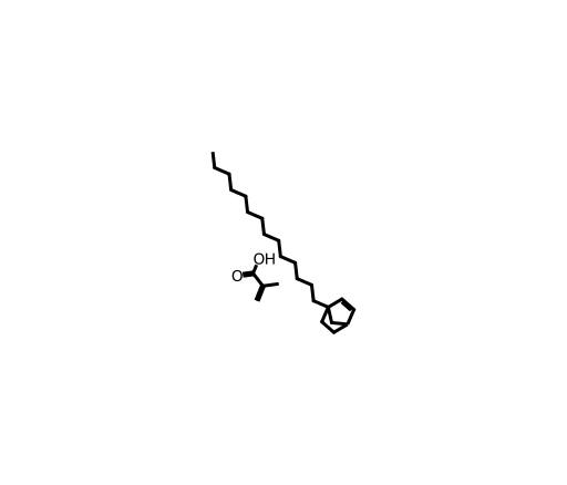 C=C(C)C(=O)O.CCCCCCCCCCCCCCC12C=CC(CC1)C2